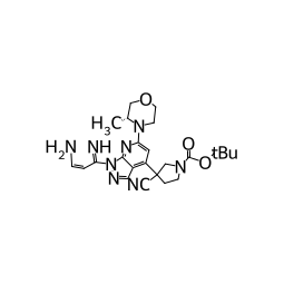 C[C@@H]1COCCN1c1cc(C2(C#N)CCN(C(=O)OC(C)(C)C)C2)c2cnn(C(=N)/C=C\N)c2n1